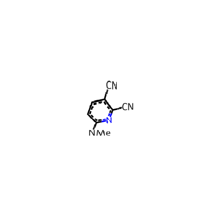 CNc1ccc(C#N)c(C#N)n1